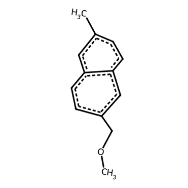 COCc1ccc2cc(C)ccc2c1